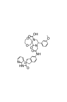 COc1cccc(C2CN(C(=O)O)C3(COCCOC3)C(=O)N2CC(=O)Nc2ccc3c(c2)C[C@@]2(C3)C(=O)Nc3ncccc32)c1